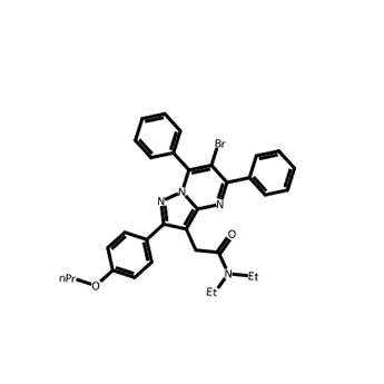 CCCOc1ccc(-c2nn3c(-c4ccccc4)c(Br)c(-c4ccccc4)nc3c2CC(=O)N(CC)CC)cc1